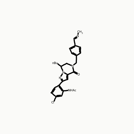 CCCCC1CN(Cc2ccc(/C=N/C)cc2)C(=O)c2cc(-c3ccc(Cl)cc3NC(C)=O)nn21